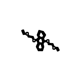 C=COCCOc1c2ccccc2c(OCCOC=C)c2ccccc12